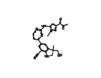 CNC(=O)c1cc(Nc2nccc(-c3cc(C#N)c4c(c3)C(C)(CO)CN4)n2)n(C)n1